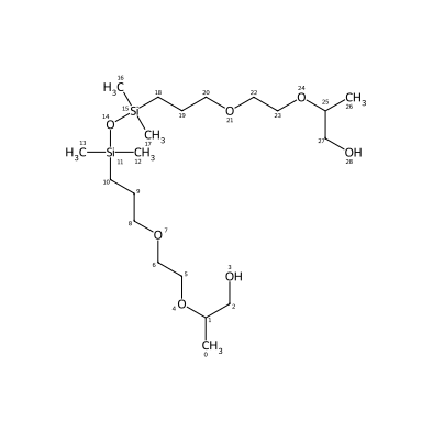 CC(CO)OCCOCCC[Si](C)(C)O[Si](C)(C)CCCOCCOC(C)CO